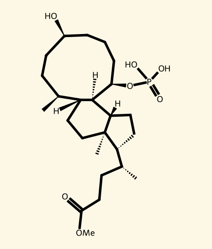 COC(=O)CC[C@@H](C)[C@H]1CC[C@H]2[C@H]3[C@H](CC[C@]12C)[C@@H](C)CC[C@@H](O)CCC[C@H]3OP(=O)(O)O